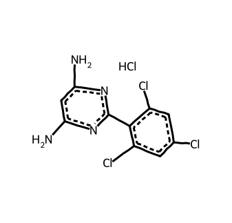 Cl.Nc1cc(N)nc(-c2c(Cl)cc(Cl)cc2Cl)n1